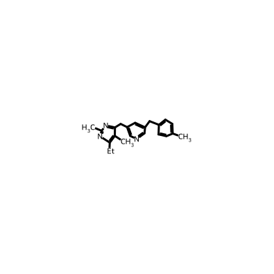 CCc1nc(C)nc(Cc2cncc(Cc3ccc(C)cc3)c2)c1C